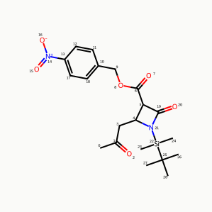 CC(=O)CC1C(C(=O)OCc2ccc([N+](=O)[O-])cc2)C(=O)N1[Si](C)(C)C(C)(C)C